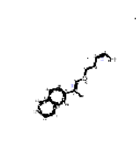 CC/C=C\CCO/C=C(\C)c1ccc2ccccc2c1